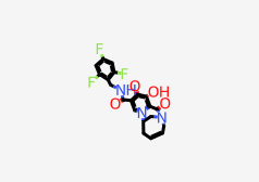 O=C(NCc1c(F)cc(F)cc1F)c1cn2c(c(O)c1=O)C(=O)N1CC=CCC2C1